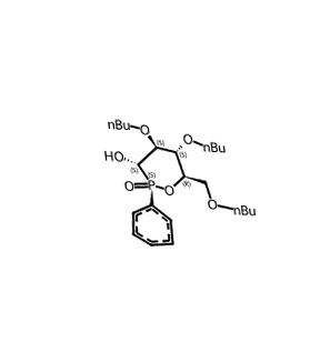 CCCCOC[C@H]1O[P@@](=O)(c2ccccc2)[C@H](O)[C@@H](OCCCC)[C@@H]1OCCCC